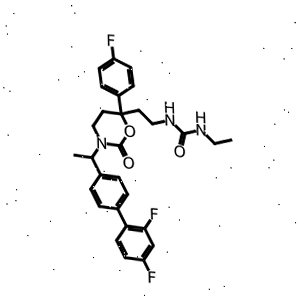 CCNC(=O)NCCC1(c2ccc(F)cc2)CCN(C(C)c2ccc(-c3ccc(F)cc3F)cc2)C(=O)O1